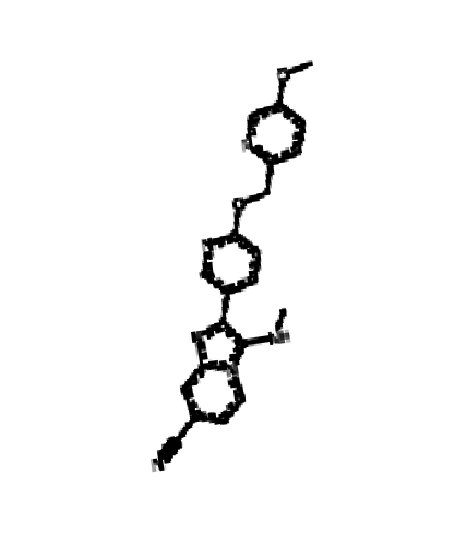 CNc1c(-c2ccc(OCc3ccc(OC)cn3)nc2)nc2cc(C#N)ccn12